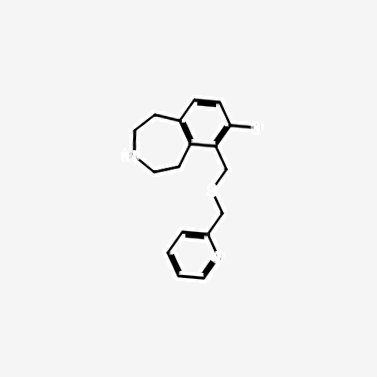 Clc1ccc2c(c1CSCc1ccccn1)CCNCC2